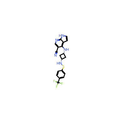 N#Cc1cnc2[nH]ccc2c1N[C@H]1C[C@@H](NSc2ccc(C(F)(F)F)cc2)C1